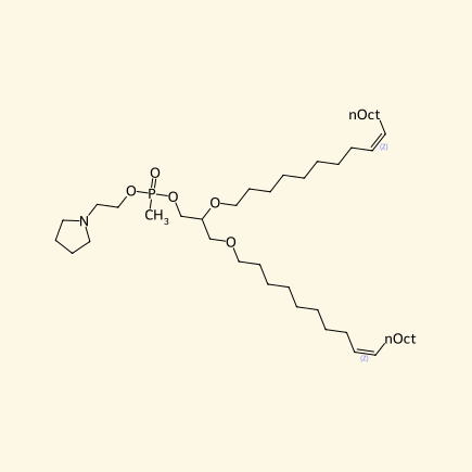 CCCCCCCC/C=C\CCCCCCCCOCC(COP(C)(=O)OCCN1CCCC1)OCCCCCCCC/C=C\CCCCCCCC